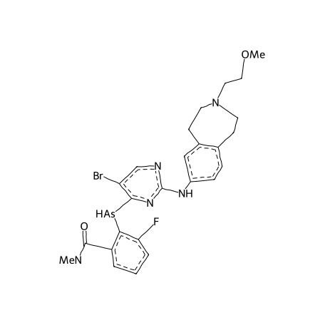 CNC(=O)c1cccc(F)c1[AsH]c1nc(Nc2ccc3c(c2)CCN(CCOC)CC3)ncc1Br